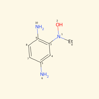 CCN(O)c1cc(N)ccc1N